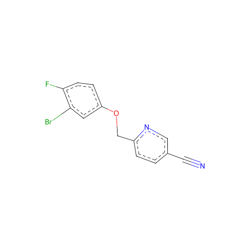 N#Cc1ccc(COc2ccc(F)c(Br)c2)nc1